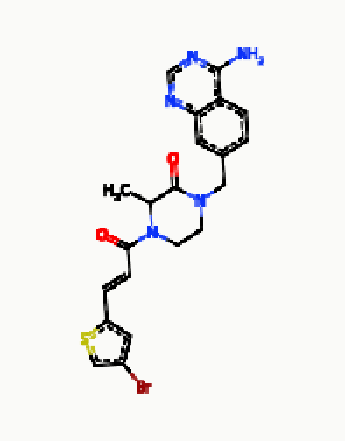 CC1C(=O)N(Cc2ccc3c(N)ncnc3c2)CCN1C(=O)/C=C/c1cc(Br)cs1